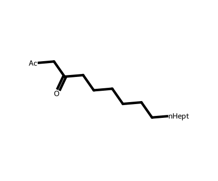 CCCCCCCCCCCCCC(=O)CC(C)=O